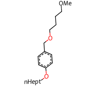 CCCCCCCOc1ccc(COCCCCOC)cc1